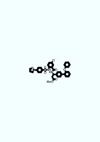 COC(=O)CC(NC(=O)c1cc(Cl)ccc1NS(=O)(=O)c1ccc(-n2cccn2)cc1)c1ccc(-c2ccccc2Oc2ccccc2)cc1